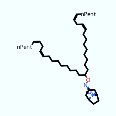 CCCCC/C=C\C/C=C\CCCCCCCCC(CCCCCCCC/C=C\C/C=C\CCCCC)ON=C1CC2CCC(C1)[N+]2(C)C